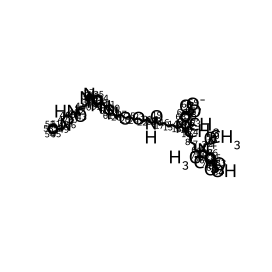 COCC[N+]1=C(/C=C/C=C/C=C2/N(CCCCCC(=O)NCCOCCOCCN3CCN(c4ccc5nnc(CCC(=O)NC6CCN(Cc7ccccc7)CC6)n5n4)CC3)c3ccc(S(=O)(=O)[O-])cc3C2(C)C)C(C)(C)c2cc(S(=O)(=O)O)ccc21